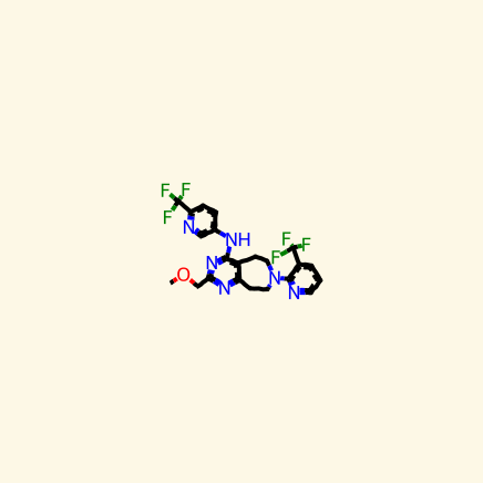 COCc1nc2c(c(Nc3ccc(C(F)(F)F)nc3)n1)CCN(c1ncccc1C(F)(F)F)CC2